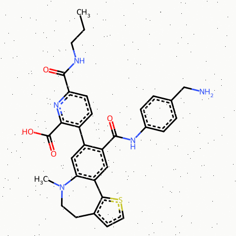 CCCNC(=O)c1ccc(-c2cc3c(cc2C(=O)Nc2ccc(CN)cc2)-c2sccc2CCN3C)c(C(=O)O)n1